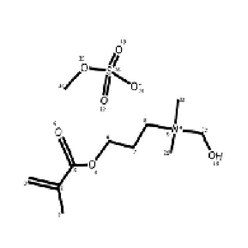 C=C(C)C(=O)OCCC[N+](C)(C)CO.COS(=O)(=O)[O-]